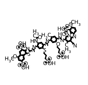 COc1ccc2nc3c(C#N)c(C)c(N=Nc4cc(C)c(N=Nc5cc(NC(C)=O)c(N=Nc6nc7c(S(=O)(=O)O)cc8c(OC)cc(S(=O)(=O)O)cc8c7s6)cc5SCCCS(=O)(=O)O)cc4OCCCS(=O)(=O)O)c(O)n3c2c1S(=O)(=O)O